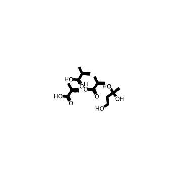 C=C(C)C(=O)O.C=C(C)C(=O)O.C=C(C)C(=O)O.CC(O)(O)CCO